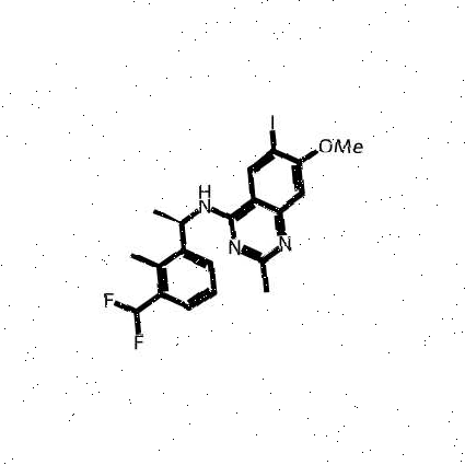 COc1cc2nc(C)nc(N[C@H](C)c3cccc(C(F)F)c3C)c2cc1I